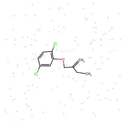 C=C(CC)COc1cc(Cl)ccc1Cl